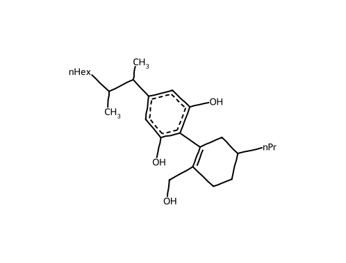 CCCCCCC(C)C(C)c1cc(O)c(C2=C(CO)CCC(CCC)C2)c(O)c1